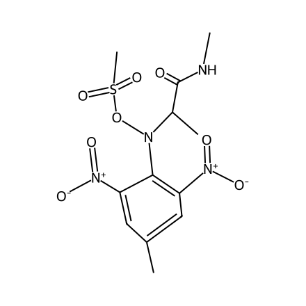 CNC(=O)C(C)N(OS(C)(=O)=O)c1c([N+](=O)[O-])cc(C)cc1[N+](=O)[O-]